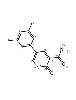 Cc1cc(C)cc(-c2c[nH]c(=O)c(C(N)=O)c2)c1